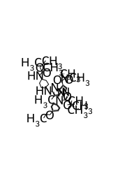 CCOc1ccc(N(C(=O)OC(C)(C)C)c2c(C)c(N[C@H]3CC[C@H](NC(=O)OC(C)(C)C)CC3)nc3c(C(=O)N(C)OC)cnn23)cc1